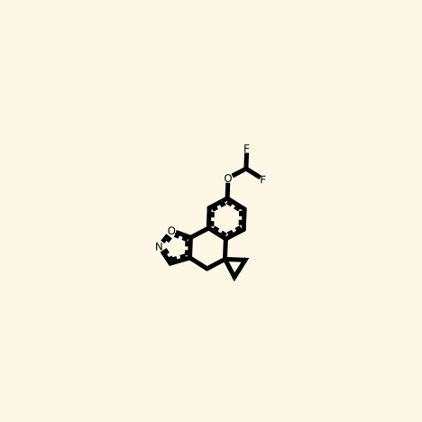 FC(F)Oc1ccc2c(c1)-c1oncc1CC21CC1